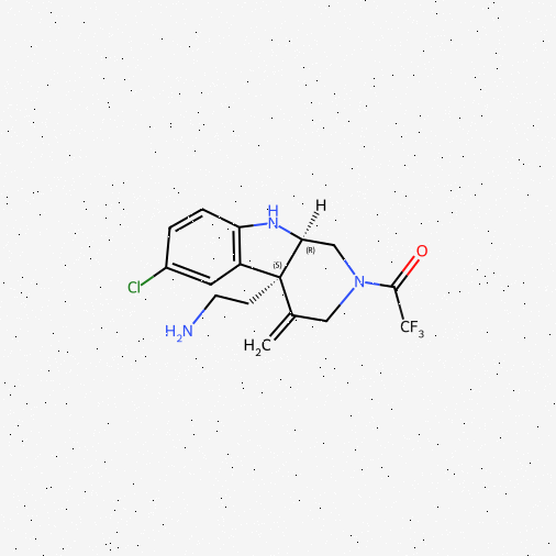 C=C1CN(C(=O)C(F)(F)F)C[C@@H]2Nc3ccc(Cl)cc3[C@]12CCN